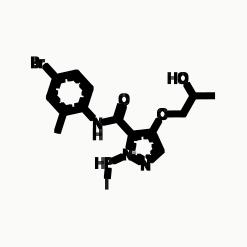 Cc1cc(Br)ccc1NC(=O)c1c(OCC(C)O)cnn1PI